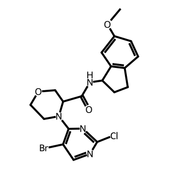 COc1ccc2c(c1)C(NC(=O)C1COCCN1c1nc(Cl)ncc1Br)CC2